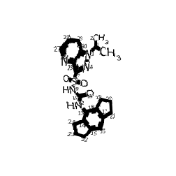 CC(C)n1nc(S(=O)(=O)NC(=O)Nc2c3c(cc4c2CCC4)CCC3)c2ncccc21